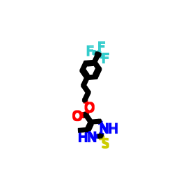 CC1=C(C(=O)OCCCc2ccc(C(F)(F)F)cc2)CNC(=S)N1